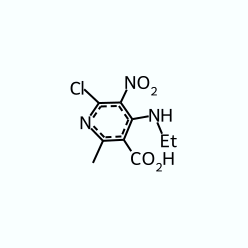 CCNc1c(C(=O)O)c(C)nc(Cl)c1[N+](=O)[O-]